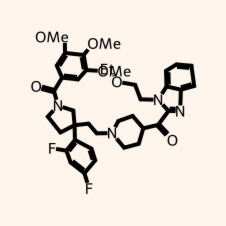 CCOCCn1c(C(=O)C2CCN(CCC3(c4ccc(F)cc4F)CCN(C(=O)c4cc(OC)c(OC)c(OC)c4)C3)CC2)nc2ccccc21